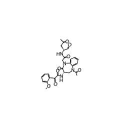 COc1ccccc1C(=O)C(=O)N[C@H]1CN(C(C)=O)c2ccccc2N(CC(=O)N[C@H](C=O)CC(C)=O)C1=O